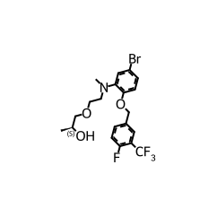 C[C@H](O)COCCN(C)c1cc(Br)ccc1OCc1ccc(F)c(C(F)(F)F)c1